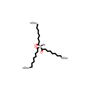 CCCCCCCCCCCCCCCCC[C](=O)[Ti]([C](=O)CCCCCCCCCCCCCCCCC)([C](=O)CCCCCCCCCCCCCCCCC)[CH](C)C